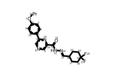 CC(C)Oc1ccc(-c2cncc(C(=O)NN=CC3CCC(F)(F)CC3)n2)cc1